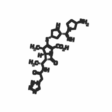 C[C@@H](NC(=O)Cn1cnnn1)[C@H]1C(=O)N2C(C(=O)O)=C(S[C@@H]3CN[C@H](C(=N)N4CC[C@@H](N)C4)C3)[C@H](C)[C@H]12